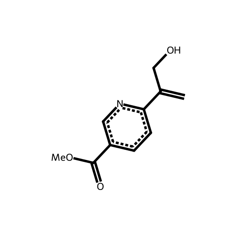 C=C(CO)c1ccc(C(=O)OC)cn1